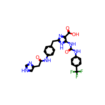 O=C(Cc1c[nH]cn1)Nc1ccc(Cc2nc(C(=O)O)c(NC(=O)Nc3ccc(C(F)(F)F)cc3)[nH]2)cc1